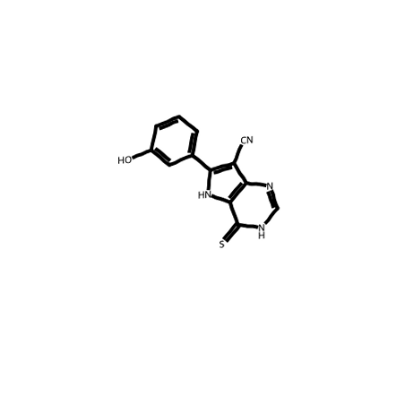 N#Cc1c(-c2cccc(O)c2)[nH]c2c(=S)[nH]cnc12